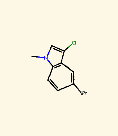 CC(C)c1ccc2c(c1)c(Cl)cn2C